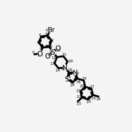 COc1ccc(Br)cc1S(=O)(=O)C1CCN(c2nc(Cc3cc(C)cc(C)c3)cs2)CC1